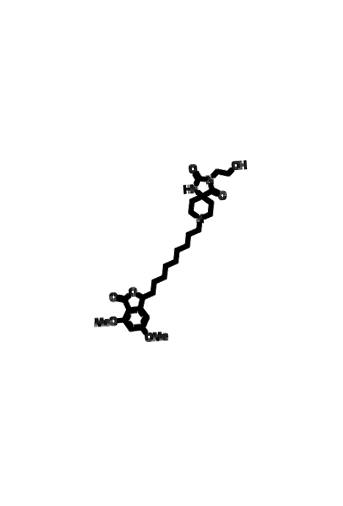 COc1cc(OC)c2c(c1)C(CCCCCCCCCN1CCC3(CC1)NC(=O)N(CCO)C3=O)OC2=O